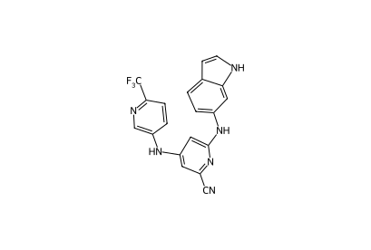 N#Cc1cc(Nc2ccc(C(F)(F)F)nc2)cc(Nc2ccc3cc[nH]c3c2)n1